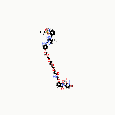 CN(c1cccc(CNc2nc(Nc3ccc(OCCOCCOCCOCCOCCC(=O)NCCOc4cccc5c4C(=O)N(C4CCC(=O)NC4O)C5=O)cc3)ncc2C(F)(F)F)c1)S(C)(=O)=O